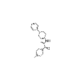 CN1CCN(C(=O)c2cc3c([nH]2)CCC(c2ccccc2)C3)CC1